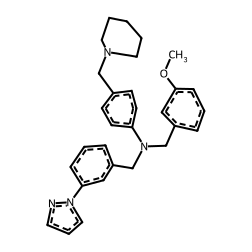 COc1cccc(CN(Cc2cccc(-n3cccn3)c2)c2ccc(CN3CCCCC3)cc2)c1